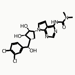 CN(C)C(=O)Nc1ncnc2c1ccn2[C@@H]1C[C@H]([C@H](O)c2ccc(Cl)c(Cl)c2)[C@@H](O)[C@H]1O